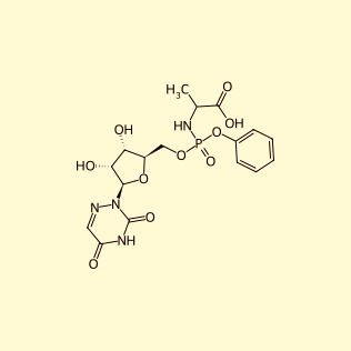 CC(NP(=O)(OC[C@H]1O[C@@H](n2ncc(=O)[nH]c2=O)[C@H](O)[C@@H]1O)Oc1ccccc1)C(=O)O